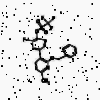 Cc1ccc(-c2ccc(OS(=O)(=O)C(F)(F)F)c(F)c2)c(OCc2ccccc2)n1